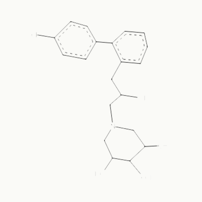 CC1CN(CC(O)Cc2ccccc2-c2ccc(Cl)cc2)CC(C)C1O